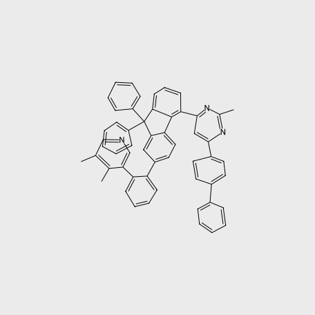 Cc1nc(-c2ccc(-c3ccccc3)cc2)cc(-c2cccc3c2-c2ccc(-c4ccccc4-c4cncc(C)c4C)cc2C3(c2ccccc2)c2ccccc2)n1